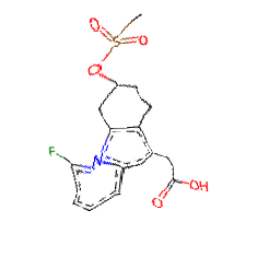 CS(=O)(=O)OC1CCc2c(CC(=O)O)c3cccc(F)n3c2C1